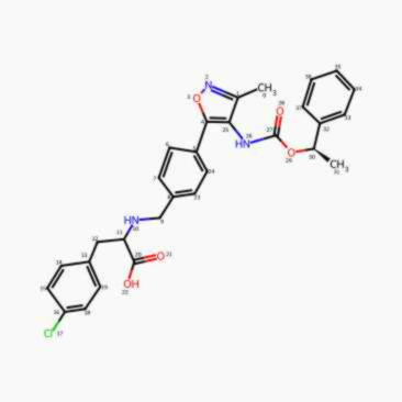 Cc1noc(-c2ccc(CNC(Cc3ccc(Cl)cc3)C(=O)O)cc2)c1NC(=O)O[C@H](C)c1ccccc1